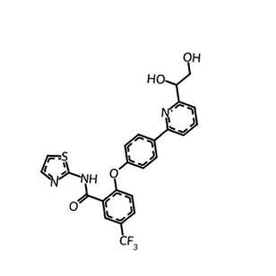 O=C(Nc1nccs1)c1cc(C(F)(F)F)ccc1Oc1ccc(-c2cccc(C(O)CO)n2)cc1